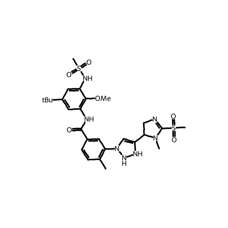 COc1c(NC(=O)c2ccc(C)c(N3C=C(C4CN=C(S(C)(=O)=O)N4C)NN3)c2)cc(C(C)(C)C)cc1NS(C)(=O)=O